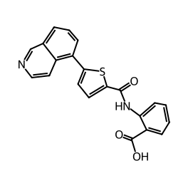 O=C(Nc1ccccc1C(=O)O)c1ccc(-c2cccc3cnccc23)s1